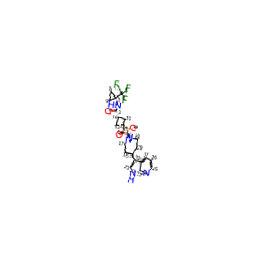 O=C(NC1(C(F)(F)F)CC1)[C@H]1C[C@H](S(=O)(=O)N2CCC(c3c[nH]c4ncccc34)CC2)C1